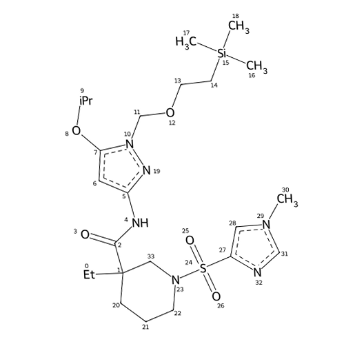 CCC1(C(=O)Nc2cc(OC(C)C)n(COCC[Si](C)(C)C)n2)CCCN(S(=O)(=O)c2cn(C)cn2)C1